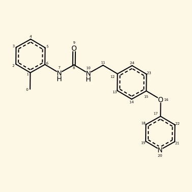 Cc1ccccc1NC(=O)NCc1ccc(Oc2ccncc2)cc1